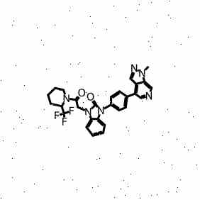 Cn1ncc2c(-c3ccc(-n4c(=O)n(CC(=O)N5CCCCC5C(F)(F)F)c5ccccc54)cc3)cncc21